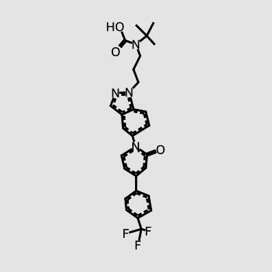 CC(C)(C)N(CCCn1ncc2cc(-n3ccc(-c4ccc(C(F)(F)F)cc4)cc3=O)ccc21)C(=O)O